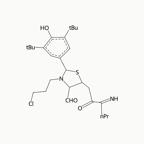 CCCC(=N)C(=O)CC1SC(c2cc(C(C)(C)C)c(O)c(C(C)(C)C)c2)N(CCCCl)C1C=O